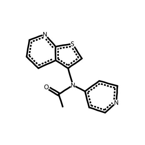 CC(=O)N(c1ccncc1)c1csc2ncccc12